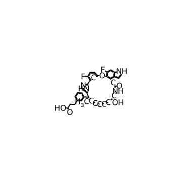 CC1(c2cccc(CCC(=O)O)c2)CCCCCC(O)CNC(=O)Cc2c(c(F)cc3[nH]ccc23)Oc2ccc(F)c(c2)-c2ncc1[nH]2